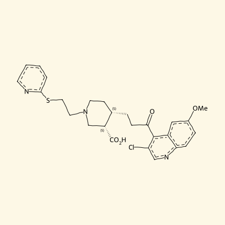 COc1ccc2ncc(Cl)c(C(=O)CC[C@H]3CCN(CCSc4ccccn4)C[C@H]3C(=O)O)c2c1